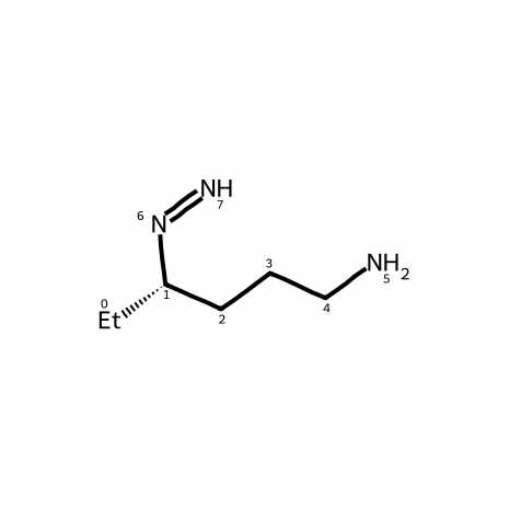 CC[C@@H](CCCN)N=N